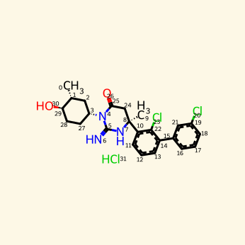 C[C@@H]1C[C@H](N2C(=N)N[C@](C)(c3cccc(-c4cccc(Cl)c4)c3Cl)CC2=O)CC[C@H]1O.Cl